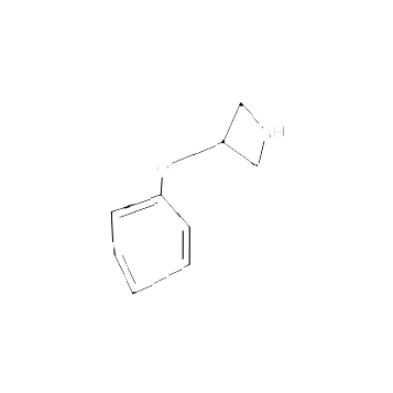 [c]1ccccc1OC1CNC1